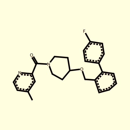 Cc1ccnc(C(=O)N2CCC(OCc3ccccc3-c3ccc(F)cc3)CC2)c1